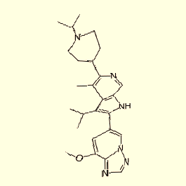 COc1cc(-c2[nH]c3cnc(C4CCN(C(C)C)CC4)c(C)c3c2C(C)C)cn2ncnc12